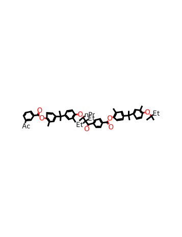 CCCC(C)(Oc1ccc(C(C)(C)c2ccc(OC(=O)c3cccc(C(C)=O)c3)c(C)c2)cc1C)C(CC)(CC)C(=O)c1ccc(C(=O)Oc2ccc(C(C)(C)c3ccc(OC(C)(C)CC)c(C)c3)cc2C)cc1